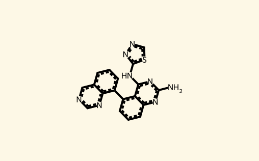 Nc1nc(Nc2nncs2)c2c(-c3cccc4cncnc34)cccc2n1